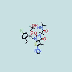 CCc1ccc(F)cc1[C@@H](Cn1c(=O)n(C(C)(C)C(=O)NC(C)C)c(=O)c2c(C)c(-n3nccn3)sc21)OCC(C)(C)O